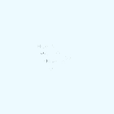 [O]=[GeH][O-].[O]=[GeH][O-].[O]=[GeH][O-].[Sb+3]